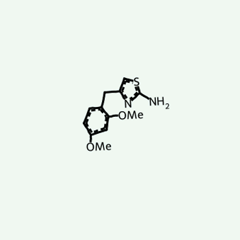 COc1ccc(Cc2csc(N)n2)c(OC)c1